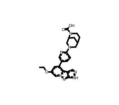 CCOc1cc(-c2ccc(N3CC4CCN(C(=O)O)C(C4)C3)nc2)c2c3cn[nH]c3nn2c1